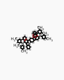 Cc1ccc(N(c2ccc(C)cc2-c2ccccc2)c2ccc3c4cc5c(cc4n4c6ccccc6c2c34)c2ccc(N(c3ccc(C)cc3C)c3ccc(C)cc3-c3ccccc3)c3c4ccccc4n5c23)c(C)c1